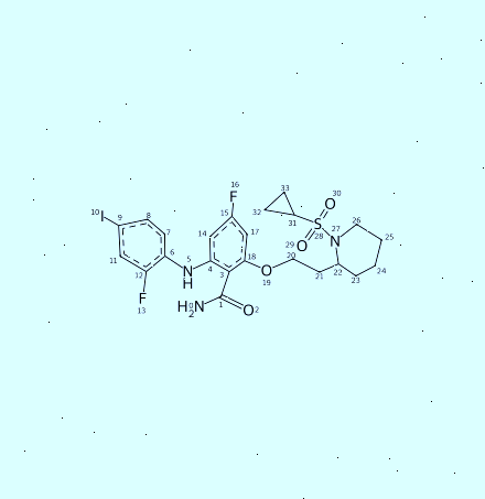 NC(=O)c1c(Nc2ccc(I)cc2F)cc(F)cc1OCCC1CCCCN1S(=O)(=O)C1CC1